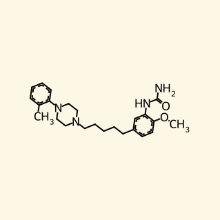 COc1ccc(CCCCCN2CCN(c3ccccc3C)CC2)cc1NC(N)=O